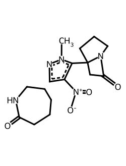 Cn1ncc([N+](=O)[O-])c1C12CCCN1C(=O)C2.O=C1CCCCCN1